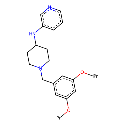 CC(C)Oc1cc(CN2CCC(Nc3cccnc3)CC2)cc(OC(C)C)c1